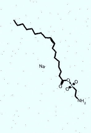 CCCCCCCC/C=C\CCCCCCCC(=O)OS(=O)(=O)CCN.[Na]